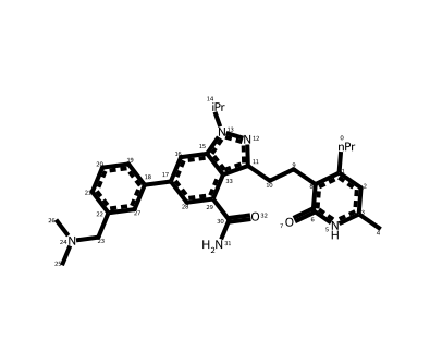 CCCc1cc(C)[nH]c(=O)c1CCc1nn(C(C)C)c2cc(-c3cccc(CN(C)C)c3)cc(C(N)=O)c12